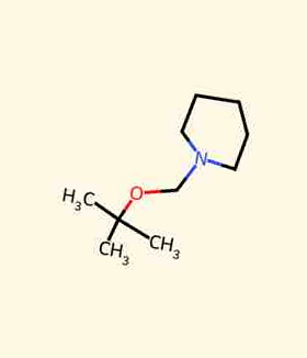 CC(C)(C)OCN1CCCCC1